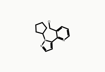 ClCc1cccnc1-c1ccnn1C1CCCC1